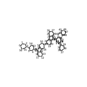 c1ccc(-c2ccc(-n3c4ccccc4c4cc(-c5ccc6c(c5)c5ccccc5n6-c5nc(-c6ccccc6)nc6c5Cc5ccccc5-6)ccc43)cc2)cc1